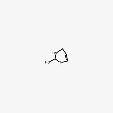 OC1NCC=CS1